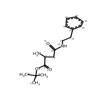 CC(C)(C)OC(=O)C(N)CC(=O)NCCc1ccccc1